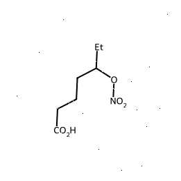 CCC(CCCC(=O)O)O[N+](=O)[O-]